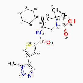 Cn1nncc1-c1csc(C(=O)N[C@@H](CC2CCCCC2)CN(C(=O)O)C(C)(C)C)c1